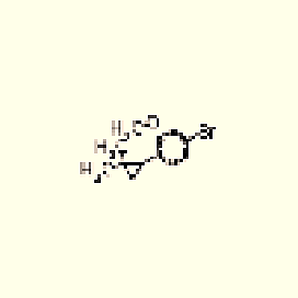 C=O.CC1(C)CC1c1ccc(Br)cc1